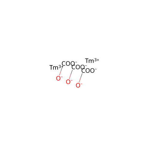 O=C([O-])[O-].O=C([O-])[O-].O=C([O-])[O-].[Tm+3].[Tm+3]